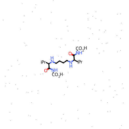 CC(C)C(NCCCCNC(C(=O)NC(=O)O)C(C)C)C(=O)NC(=O)O